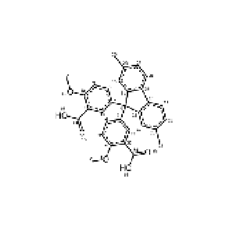 COc1ccc(C2(c3ccc(OC)c(C(=O)O)c3)c3cc(C)ccc3-c3ccc(C)cc32)cc1C(=O)O